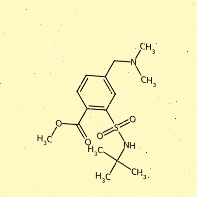 COC(=O)c1ccc(CN(C)C)cc1S(=O)(=O)NC(C)(C)C